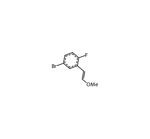 COC=Cc1cc(Br)ccc1F